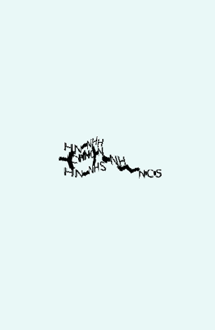 CC12CNCNCC(NC(=S)NCCCCN=C=S)(CNCNC1)CNCNC2